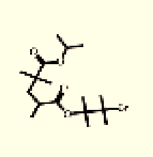 CC(C)OC(=O)C(C)(C)CC(C)C(=O)OC(C)(C)C(C)(C)Br